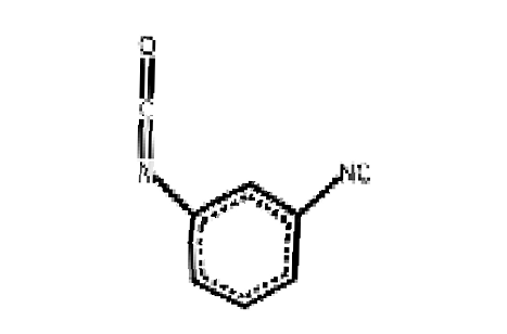 [C-]#[N+]c1cccc(N=C=O)c1